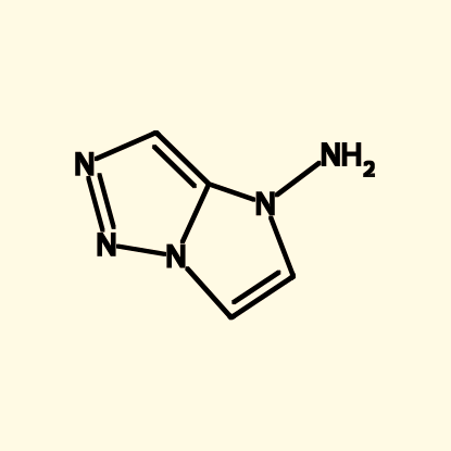 Nn1ccn2nncc12